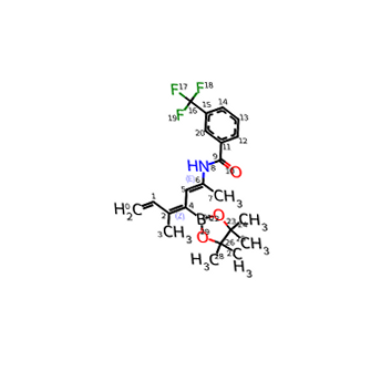 C=C/C(C)=C(\C=C(/C)NC(=O)c1cccc(C(F)(F)F)c1)B1OC(C)(C)C(C)(C)O1